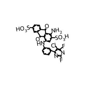 Nc1c(S(=O)(=O)O)cc(Nc2cccc(-c3nc(F)nc(F)c3Cl)c2)c2c1C(=O)c1ccc(S(=O)(=O)O)cc1C2=O